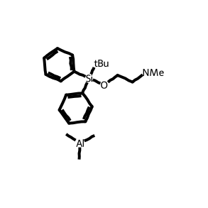 CNCCO[Si](c1ccccc1)(c1ccccc1)C(C)(C)C.[CH3][Al]([CH3])[CH3]